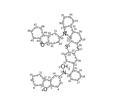 CN(c1ccc2oc3ccccc3c2c1)c1ccccc1-c1ccc2c(c1)Sc1ccc3c4ccccc4n(-c4ccc5oc6ccccc6c5c4)c3c1S2